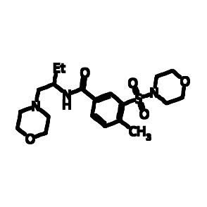 CCC(CN1CCOCC1)NC(=O)c1ccc(C)c(S(=O)(=O)N2CCOCC2)c1